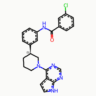 O=C(Nc1cccc([C@@H]2CCCN(c3ncnc4[nH]ccc34)C2)c1)c1cccc(Cl)c1